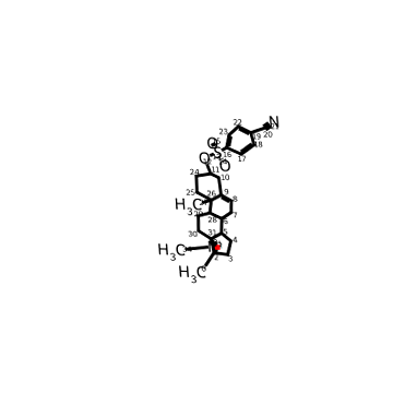 CC1C2CCC3C4CC=C5CC(OS(=O)(=O)c6ccc(C#N)cc6)CCC5(C)C4CCC32CN1C